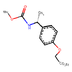 CCOC(=O)COc1ccc([C@@H](C)NC(=O)OC(C)(C)C)cc1